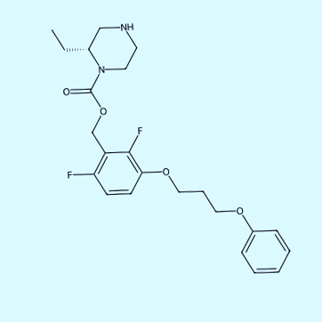 CC[C@@H]1CNCCN1C(=O)OCc1c(F)ccc(OCCCOc2ccccc2)c1F